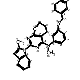 Cc1cc2[c]cccc2n1-c1nc2c(c(N(C)c3cccc(OCc4ccccc4)c3)n1)CCCO2